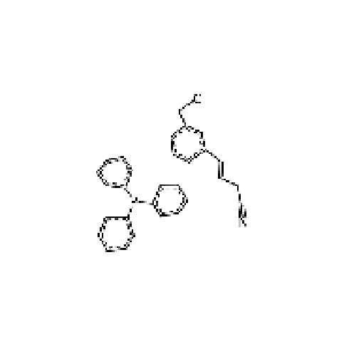 N#CC/C=C/c1cccc(CCl)c1.c1ccc(P(c2ccccc2)c2ccccc2)cc1